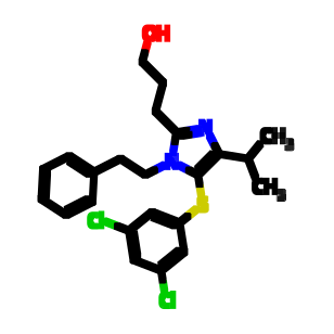 CC(C)c1nc(CCCO)n(CCc2ccccc2)c1Sc1cc(Cl)cc(Cl)c1